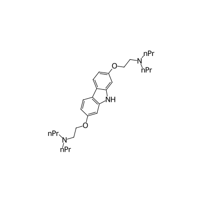 CCCN(CCC)CCOc1ccc2c(c1)[nH]c1cc(OCCN(CCC)CCC)ccc12